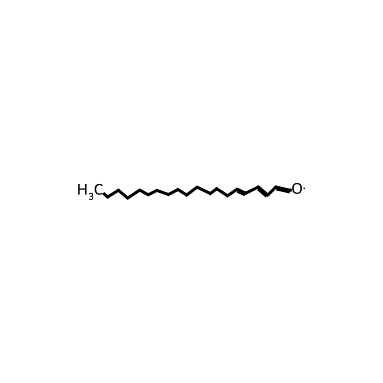 CCCCCCCCCCCCCC/C=C/C=C/C=C/[O]